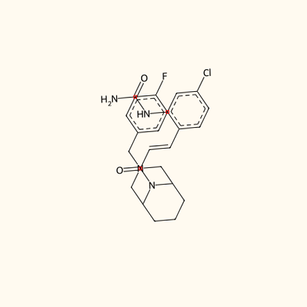 NC(=O)Nc1cc(Cl)ccc1/C=C/C(=O)N1C2CCCC1CN(Cc1ccc(F)cc1)C2